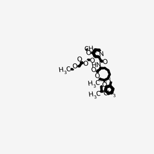 CCOCC(=O)OCOc1c(OC)ccnc1C(=O)N[C@H]1CCC[C@H](Cc2ccccc2)[C@@H](OCC(C)C)[C@H](C)OC1=O